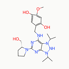 COc1cc(O)c(CNc2nc(N3CCC[C@@H]3CO)nc3c2N(C(C)C)NN3C(C)C)cc1O